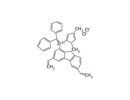 C=Cc1ccc2c(c1)-c1cc(C=C)c[c]([Zr+2]([C]3=CC(C)=CC3C)=[C](c3ccccc3)c3ccccc3)c1C2.[Cl-].[Cl-]